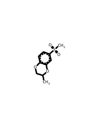 CC1COc2ccc(S(C)(=O)=O)cc2O1